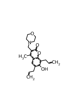 C=CCc1cc2c(C)c(CN3CCOCC3)c(=O)oc2c(CC=C)c1O